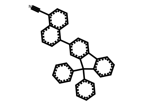 N#Cc1cccc2c(-c3ccc4c(c3)C(c3ccccc3)(c3ccccc3)c3ccccc3-4)cccc12